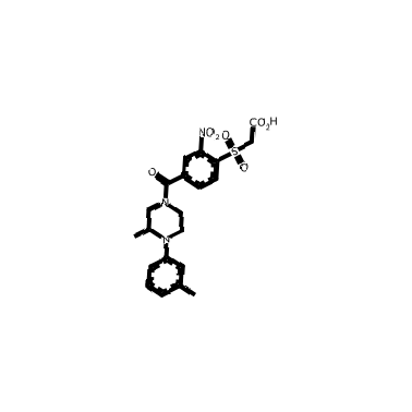 Cc1cccc(N2CCN(C(=O)c3ccc(S(=O)(=O)CC(=O)O)c([N+](=O)[O-])c3)CC2C)c1